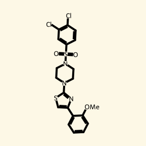 COc1ccccc1-c1csc(N2CCN(S(=O)(=O)c3ccc(Cl)c(Cl)c3)CC2)n1